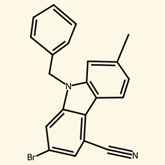 Cc1ccc2c3c(C#N)cc(Br)cc3n(Cc3ccccc3)c2c1